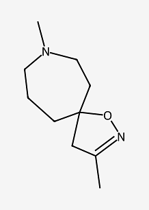 CC1=NOC2(CCCN(C)CC2)C1